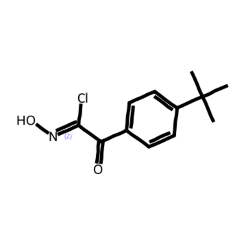 CC(C)(C)c1ccc(C(=O)/C(Cl)=N/O)cc1